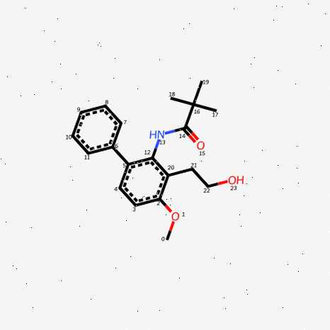 COc1ccc(-c2ccccc2)c(NC(=O)C(C)(C)C)c1CCO